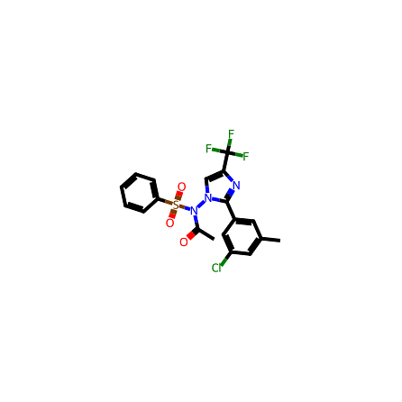 CC(=O)N(n1cc(C(F)(F)F)nc1-c1cc(C)cc(Cl)c1)S(=O)(=O)c1ccccc1